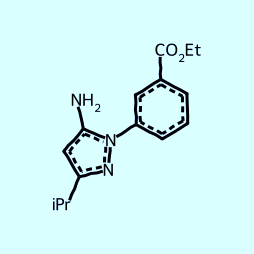 CCOC(=O)c1cccc(-n2nc(C(C)C)cc2N)c1